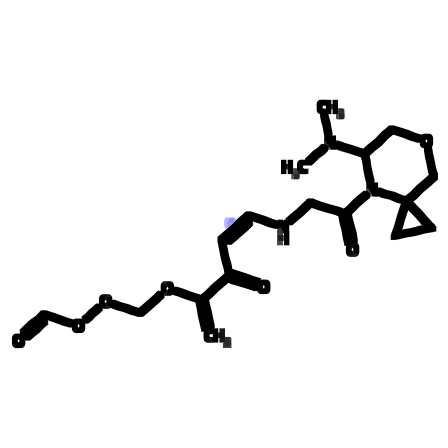 C=C(OCOOC=O)C(=O)/C=C\NCC(=O)N1C(N(C)C)COCC12CC2